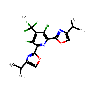 CC(C)c1coc(-c2nc(-c3nc(C(C)C)co3)c(Br)c(C(F)(F)F)c2Br)n1.[Co]